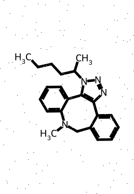 CCCCC(C)n1nnc2c1-c1ccccc1N(C)Cc1ccccc1-2